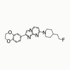 FCCC1CCN(c2ccn3cc(-c4ccc5c(c4)OCCO5)nc3n2)CC1